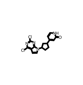 O=c1cc(C2CCC(n3ccc4c(Cl)nc(Cl)nc43)C2)cc[nH]1